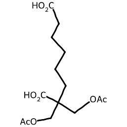 CC(=O)OCC(CCCCCC(=O)O)(COC(C)=O)C(=O)O